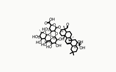 C[C@@H]1O[C@@H](OC2C(O[C@@H]3OC(CO)[C@H](O)C(O)[C@@H]3O)[C@H](O[C@H]3CCC4(C)C(CC[C@]5(C)C4CC=C4C6CC(C)(C)CC[C@]6(C(=O)O)[C@H](O)CC45C)[C@@]3(C)C=O)OC(C(=O)O)[C@H]2O)C(O)C(O)[C@H]1O